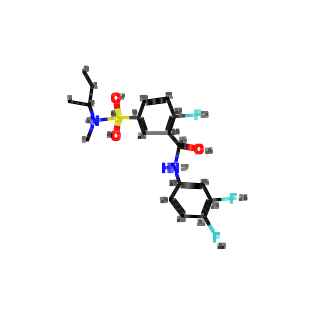 CCC(C)N(C)S(=O)(=O)c1ccc(F)c(C(=O)Nc2ccc(F)c(F)c2)c1